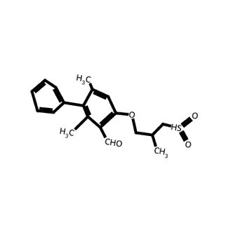 Cc1cc(OCC(C)C[SH](=O)=O)c(C=O)c(C)c1-c1ccccc1